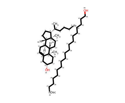 CC(C)CCCC(C)[C@H]1CC[C@H]2[C@@H]3CC=C4C[C@@H](O)CC[C@]4(C)[C@H]3CC[C@]12C.CCCCCCCCCCCCCCCCCCCCCCCCCCCCO